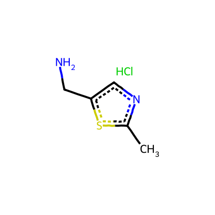 Cc1ncc(CN)s1.Cl